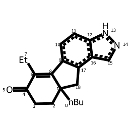 CCCCC12CCC(=O)C(CC)=C1c1ccc3[nH]ncc3c1C2